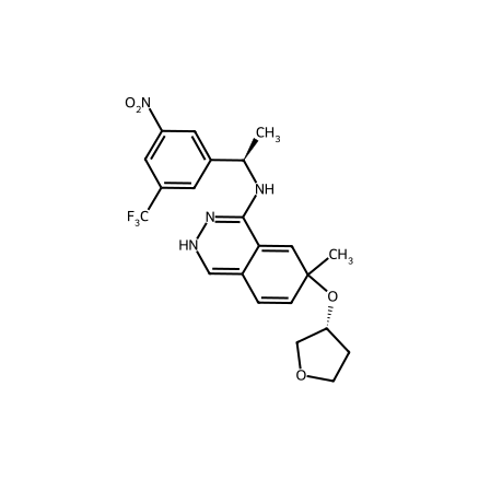 C[C@@H](NC1=NNC=C2C=CC(C)(O[C@@H]3CCOC3)C=C21)c1cc([N+](=O)[O-])cc(C(F)(F)F)c1